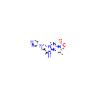 C=C(C)[C@H]1COC(=O)N1c1nc(C)nc(N[C@@H](C)c2cn(-c3ccnnc3)cn2)n1